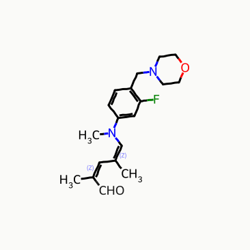 C/C(C=O)=C/C(C)=C\N(C)c1ccc(CN2CCOCC2)c(F)c1